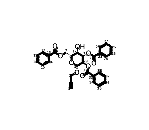 C#CCO[C@@H]1O[C@H](COC(=O)c2ccccc2)[C@H](O)[C@H](OC(=O)c2ccccc2)[C@H]1OC(=O)c1ccccc1